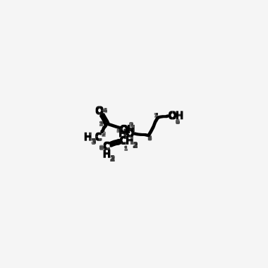 C=C.CC(=O)O.OCCO